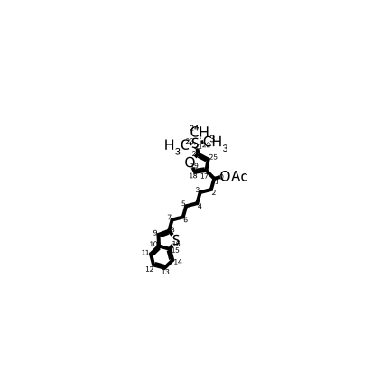 CC(=O)OC(CCCCCCc1cc2ccccc2s1)c1coc([Si](C)(C)C)c1